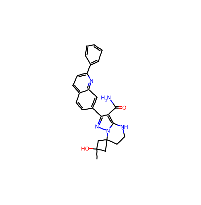 CC1(O)CC2(CCNc3c(C(N)=O)c(-c4ccc5ccc(-c6ccccc6)nc5c4)nn32)C1